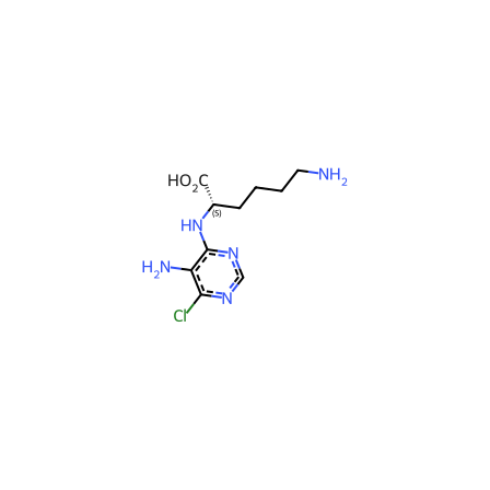 NCCCC[C@H](Nc1ncnc(Cl)c1N)C(=O)O